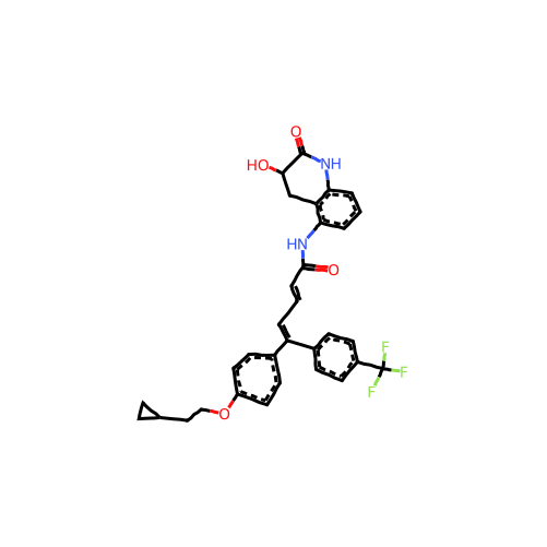 O=C(/C=C/C=C(/c1ccc(OCCC2CC2)cc1)c1ccc(C(F)(F)F)cc1)Nc1cccc2c1CC(O)C(=O)N2